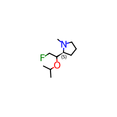 CC(C)OC(CF)[C@@H]1CCCN1C